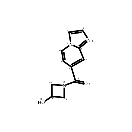 O=C(c1ccn2ccnc2c1)N1CC(O)C1